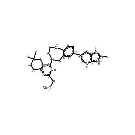 COCc1nc2c(c(N3CCOc4ccc(-c5cnc6[nH]c(C)nc6c5)cc4C3)n1)CC(C)(C)CC2